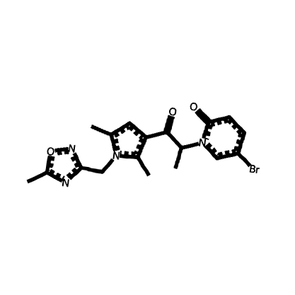 Cc1nc(Cn2c(C)cc(C(=O)C(C)n3cc(Br)ccc3=O)c2C)no1